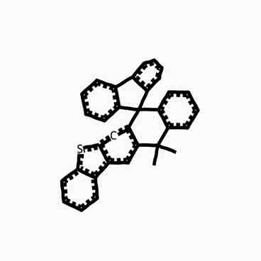 CC1(C)c2ccccc2C2(c3ccccc3-c3ccccc32)c2cc3sc4ccccc4c3cc21